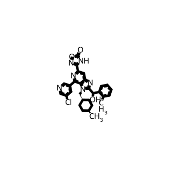 Cc1ccccc1C(O)c1nc2cc(-c3noc(=O)[nH]3)nc(-c3cncc(Cl)c3)c2n1C[C@H]1CC[C@H](C)CC1